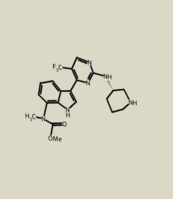 COC(=O)N(C)c1cccc2c(-c3nc(N[C@H]4CCCNC4)ncc3C(F)(F)F)c[nH]c12